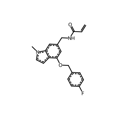 C=CC(=O)NCc1cc(OCc2ccc(F)cc2)c2ccn(C)c2c1